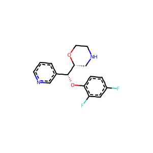 Fc1ccc(O[C@H](c2cccnc2)[C@H]2CNCCO2)c(F)c1